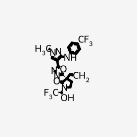 C=C[C@@]1(c2nnc(-c3cn(C)nc3Nc3ccc(C(F)(F)F)cc3)o2)CCN([C@@H](O)C(F)(F)F)C1=O